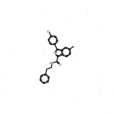 Cc1ccc2c(C(=O)NCCc3ccccc3)oc(-c3ccc(Cl)cc3)c2c1